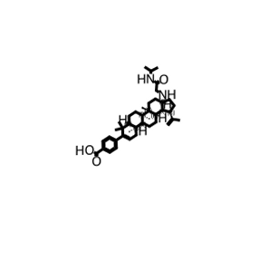 C=C(C)[C@@H]1CC[C@]2(NCC(=O)NC(C)C)CC[C@]3(C)[C@H](CC[C@@H]4[C@@]5(C)CC=C(c6ccc(C(=O)O)cc6)C(C)(C)[C@@H]5CC[C@]43C)[C@@H]12